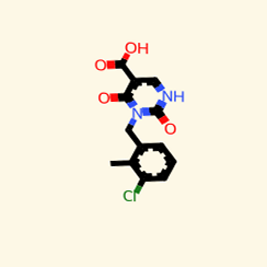 Cc1c(Cl)cccc1Cn1c(=O)[nH]cc(C(=O)O)c1=O